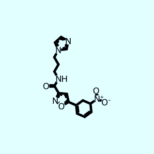 O=C(NCCCn1ccnc1)c1cc(C2=CC=CC([N+](=O)[O-])C2)on1